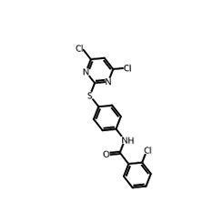 O=C(Nc1ccc(Sc2nc(Cl)cc(Cl)n2)cc1)c1ccccc1Cl